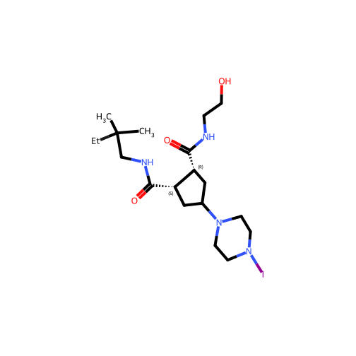 CCC(C)(C)CNC(=O)[C@H]1CC(N2CCN(I)CC2)C[C@H]1C(=O)NCCO